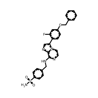 NS(=O)(=O)c1ccc(CNc2nccn3c(-c4ccc(OCc5ccccc5)cc4F)cnc23)cc1